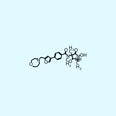 CNC(=O)[C@@](C)(C(=O)NO)N(C)C(=O)c1ccc(-c2coc(CN3CCCOCC3)c2)cc1